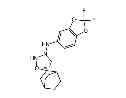 FC1(F)Oc2ccc(NN3C[C@]4(CC5CCC4CC5)ON3)cc2O1